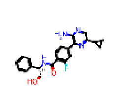 Nc1ncc(C2CC2)nc1-c1ccc(C(=O)N[C@H](CO)c2ccccc2)c(F)c1